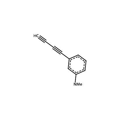 C#CC#Cc1cccc(NC)c1